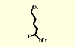 CCCC(F)CCCCC(C)CC